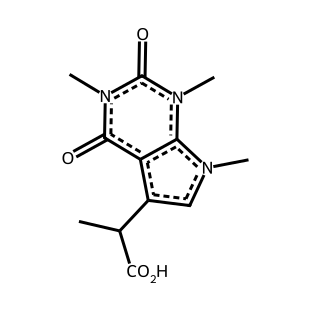 CC(C(=O)O)c1cn(C)c2c1c(=O)n(C)c(=O)n2C